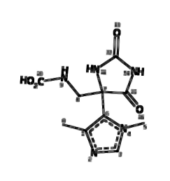 Cc1ncn(C)c1C1(CNC(=O)O)NC(=O)NC1=O